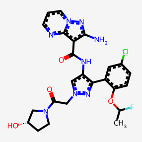 CC(F)Oc1ccc(Cl)cc1-c1nn(CC(=O)N2CC[C@H](O)C2)cc1NC(=O)c1c(N)nn2cccnc12